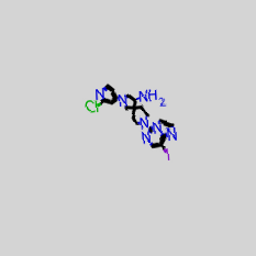 N[C@@H]1CN(c2ccnc(Cl)c2)CC12CCN(c1ncc(I)c3nccn13)CC2